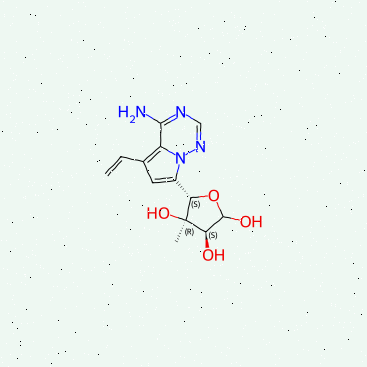 C=Cc1cc([C@@H]2OC(O)[C@@H](O)[C@@]2(C)O)n2ncnc(N)c12